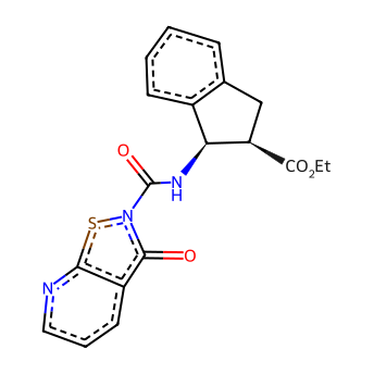 CCOC(=O)[C@@H]1Cc2ccccc2[C@@H]1NC(=O)n1sc2ncccc2c1=O